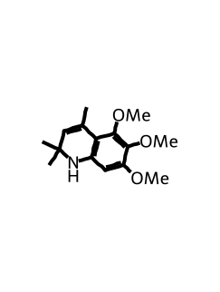 COc1cc2c(c(OC)c1OC)C(C)=CC(C)(C)N2